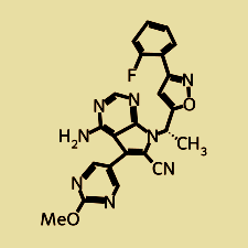 COc1ncc(-c2c(C#N)n([C@@H](C)c3cc(-c4ccccc4F)no3)c3ncnc(N)c23)cn1